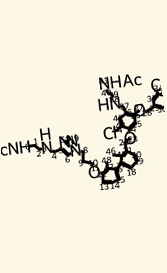 CC(=O)NCCNCc1cn(CCCOc2cccc(-c3cccc(COc4cc(OCc5cncc(C#N)c5)c(CNCCNC(C)=O)cc4Cl)c3C)c2C)nn1